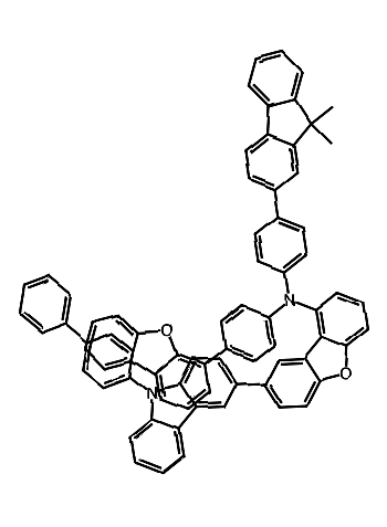 CC1(C)c2ccccc2-c2ccc(-c3ccc(N(c4ccc(-c5cccc6c5oc5ccccc56)cc4)c4cccc5oc6ccc(-c7ccc8c(c7)c7ccccc7n8-c7ccc(-c8ccccc8)cc7)cc6c45)cc3)cc21